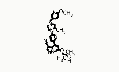 COc1ccc(CN2CCN(c3ccc(-c4cc(OCC(C)(C)O)cn5ncc(C#N)c45)cn3)[C@H](C)C2)cn1